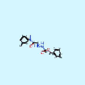 [CH2]c1cccc(NC(=O)CNNC(=O)OCc2ccccc2)c1